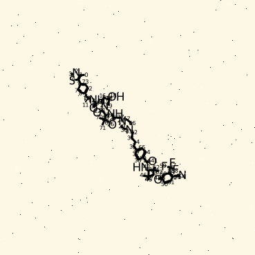 Cc1ncsc1-c1ccc([C@H](C)NC(=O)[C@@H]2C[C@@H](O)CN2C(=O)C(NC(=O)CN2CCN(CCCCc3ccc(C(=O)NC4C(C)(C)C(Oc5ccc(C#N)c(C(F)(F)F)c5)C4(C)C)cc3)CC2)C(C)(C)C)cc1